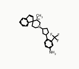 C[C@H]1CN(C2CCC(c3ccc(N)cc3C(F)(F)F)C2)CCC12C=Cc1ccccc12